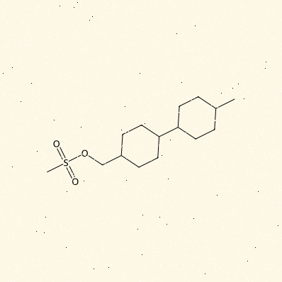 CC1CCC(C2CCC(COS(C)(=O)=O)CC2)CC1